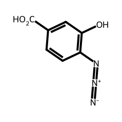 [N-]=[N+]=Nc1ccc(C(=O)O)cc1O